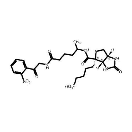 CC(CCCC(=O)NCC(=O)c1ccccc1[N+](=O)[O-])NC(=O)[C@@]1(CCCCC(=O)O)SC[C@@H]2NC(=O)N[C@@H]21